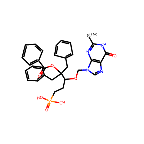 CC(=O)Nc1nc2c(ncn2COC(CCP(=O)(O)O)C(Cc2ccccc2)(Cc2ccccc2)OC(=O)c2ccccc2)c(=O)[nH]1